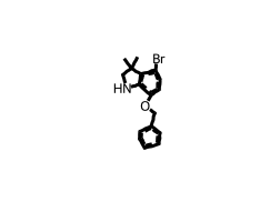 CC1(C)CNc2c(OCc3ccccc3)ccc(Br)c21